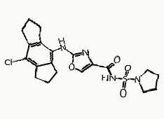 O=C(NS(=O)(=O)N1CCCC1)c1coc(Nc2c3c(c(Cl)c4c2CCC4)CCC3)n1